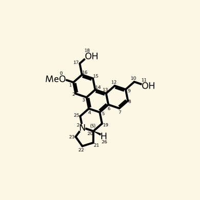 COc1cc2c3c(c4ccc(CO)cc4c2cc1CO)C[C@@H]1CCCN1C3